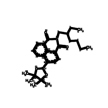 CCCCC(CC)CN1C(=O)c2cccc3c(B4OC(C)(C)C(C)(C)O4)ccc(c23)C1=O